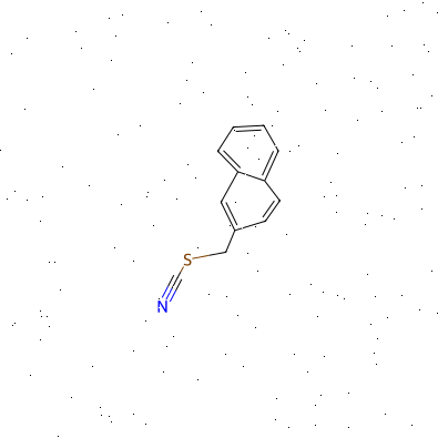 N#CSCc1ccc2ccccc2c1